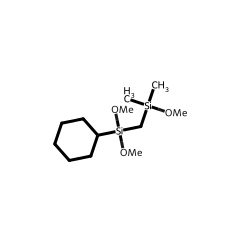 CO[Si](C)(C)C[Si](OC)(OC)C1CCCCC1